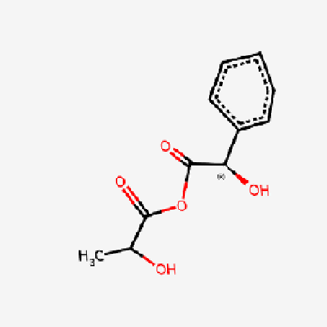 CC(O)C(=O)OC(=O)[C@H](O)c1ccccc1